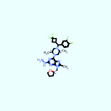 Cc1nc2c(N3C[C@@H](C)N(C(c4ccc(F)c(F)c4)C4CC(F)(F)C4)C[C@@H]3C)nc(NN)nc2n1C[C@@H]1CCCO1